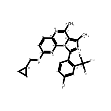 Cc1nc(-c2ccc(Cl)cc2C(F)(F)F)n2c1c(C)nc1ccc(OCC3CC3)nc12